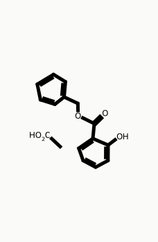 CC(=O)O.O=C(OCc1ccccc1)c1ccccc1O